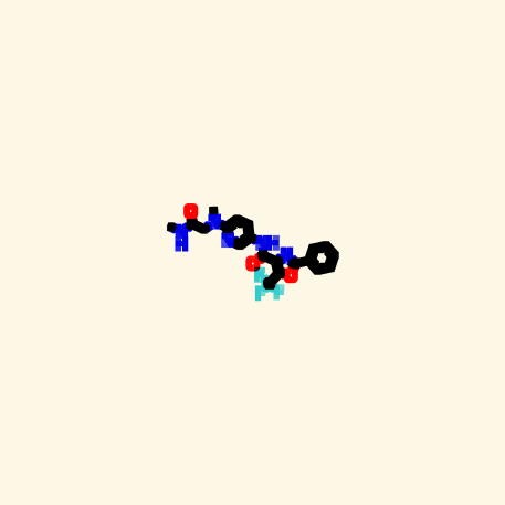 CNC(=O)CN(C)c1ccc(NC(=O)c2nc(-c3ccccc3)oc2C(F)(F)F)cn1